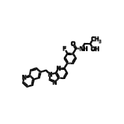 CC(O)CNC(=O)c1ccc(-c2ccc3ncn(Cc4ccc5ncccc5c4)c3n2)cc1F